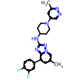 Cc1cc(-c2ccc(F)c(F)c2)c2nc(NC3CCN(c4cnnc(C)c4)CC3)nn2c1